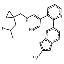 Cc1cn2ccc(-c3ncccc3/C(C=N)=C/NCC3(CC(F)F)CC3)cc2n1